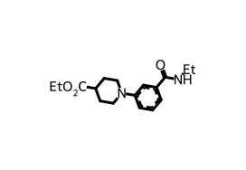 CCNC(=O)c1cccc(N2CCC(C(=O)OCC)CC2)c1